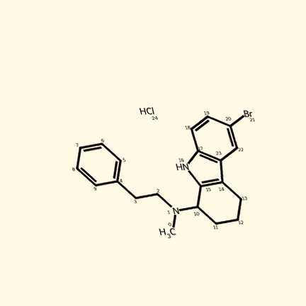 CN(CCc1ccccc1)C1CCCc2c1[nH]c1ccc(Br)cc21.Cl